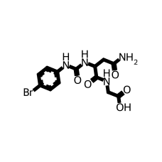 NC(=O)CC(NC(=O)Nc1ccc(Br)cc1)C(=O)NCC(=O)O